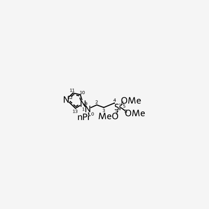 CCCN(CCC[Si](OC)(OC)OC)n1ccnc1